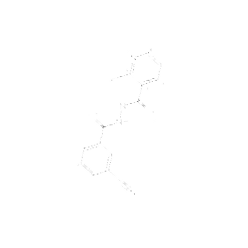 N#Cc1cccc(C(=O)NNC(=O)c2cccnc2F)c1